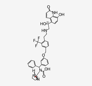 O=C(O)N(C(c1ccccc1)c1cccc(OCc2ccc(CCNC[C@@H](O)c3ccc(O)c4[nH]c(=O)ccc34)c(C(F)(F)F)c2)c1)[C@H]1CN2CCC1CC2